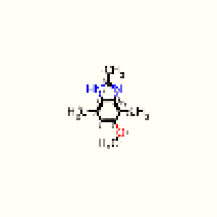 COc1cc(C)c2[nH]c(C)nc2c1C